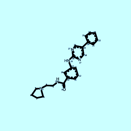 O=C(NCCN1CCCC1)c1cccc(Nc2ncc(-c3ccccc3)cn2)c1